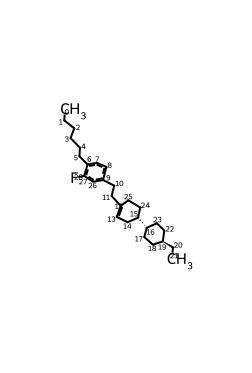 CCCCCCc1ccc(CCC2=CCC([C@H]3CC[C@H](CC)CC3)CC2)cc1F